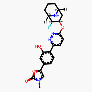 Cn1cc(-c2ccc(-c3ccc(O[C@@H]4C[C@H]5CCC[C@H](N5)[C@@H]4F)nn3)c(O)c2)oc1=O